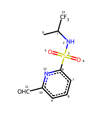 CC(NS(=O)(=O)c1cccc(C=O)n1)C(F)(F)F